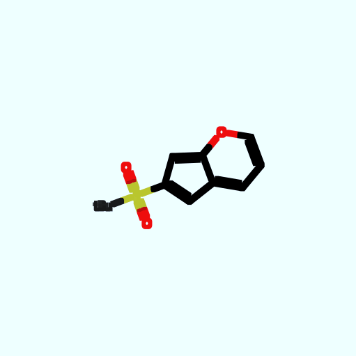 CC(C)(C)S(=O)(=O)c1cc2cccoc-2c1